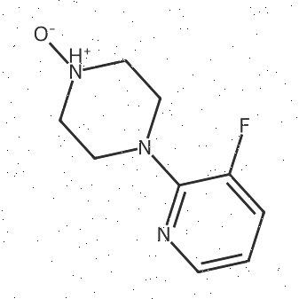 [O-][NH+]1CCN(c2ncccc2F)CC1